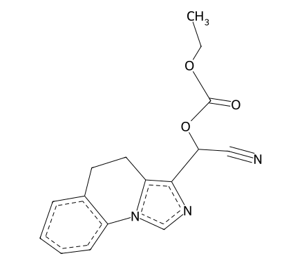 CCOC(=O)OC(C#N)c1ncn2c1CCc1ccccc1-2